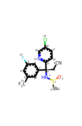 CC(C)(C)[S@+]([O-])N[C@](CC#N)(c1cc(F)cc(C(F)(F)F)c1)c1ccc(Cl)cn1